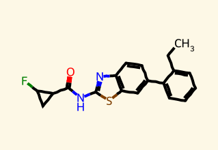 CCc1ccccc1-c1ccc2nc(NC(=O)C3CC3F)sc2c1